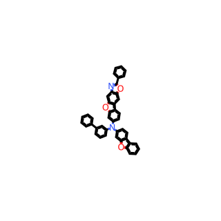 c1ccc(-c2cccc(N(c3ccc4c(c3)oc3ccccc34)c3ccc4c(c3)oc3cc5nc(-c6ccccc6)oc5cc34)c2)cc1